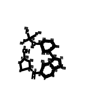 O[C@@H]1CC[C@@H](Nc2ccc3ncc(-c4cccc(OC(F)(F)F)c4)n3n2)C1